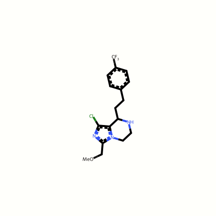 COCc1nc(Cl)c2n1CCNC2CCc1ccc(C(F)(F)F)cc1